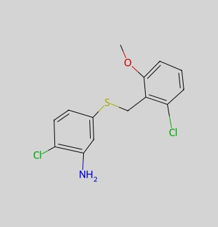 COc1cccc(Cl)c1CSc1ccc(Cl)c(N)c1